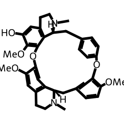 COc1ccc2cc1Oc1ccc(cc1)C[C@@H]1c3c(cc(O)c(OC)c3Oc3cc4c(cc3OC)CCN(C)[C@H]4C2)CCN1C